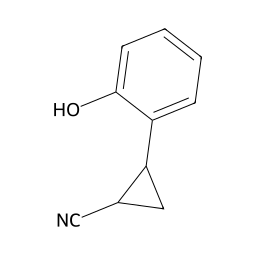 N#CC1CC1c1ccccc1O